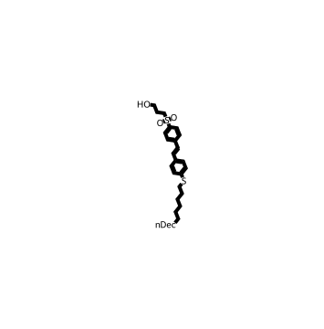 CCCCCCCCCCCCCCCCSc1ccc(C=Cc2ccc(S(=O)(=O)CCCO)cc2)cc1